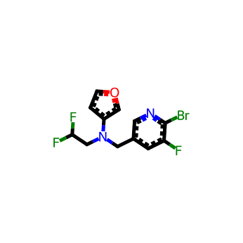 Fc1cc(CN(CC(F)F)c2ccoc2)cnc1Br